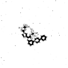 CC(C)(C)OC(=O)[C@@H](Cc1cccc(N2CCC(c3ccccc3)CC2)c1)[C@H]1CCN(C(=O)OC(C)(C)C)C1